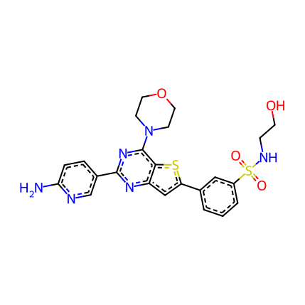 Nc1ccc(-c2nc(N3CCOCC3)c3sc(-c4cccc(S(=O)(=O)NCCO)c4)cc3n2)cn1